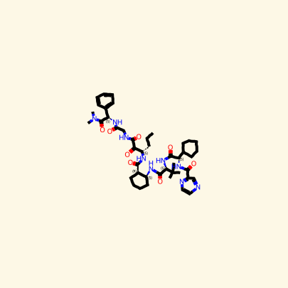 CCC[C@H](NC(=O)[C@@H]1CCCC[C@@H]1NC(=O)[C@@H](NC(=O)[C@@H](NC(=O)c1cnccn1)C1CCCCC1)C(C)(C)C)C(=O)C(=O)NCC(=O)N[C@H](C(=O)N(C)C)c1ccccc1